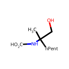 CCCCCC(C)(CO)NC(=O)O